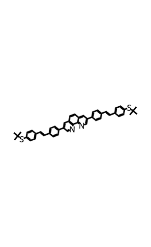 CC(C)(C)Sc1ccc(C=Cc2ccc(-c3cnc4c(ccc5cc(-c6ccc(C=Cc7ccc(SC(C)(C)C)cc7)cc6)cnc54)c3)cc2)cc1